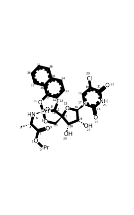 CC(C)OC(=O)[C@H](C)N[P@](=O)(OC[C@@]1(C(F)F)O[C@@H](n2cc(Cl)c(=O)[nH]c2=O)[C@H](O)[C@@H]1O)Oc1cccc2ccccc12